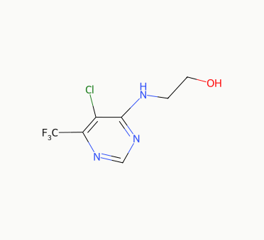 OCCNc1ncnc(C(F)(F)F)c1Cl